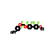 CCCc1ccc(OC(F)(F)COc2ccc(-c3ccc(OCC)c(F)c3F)c(F)c2F)cc1